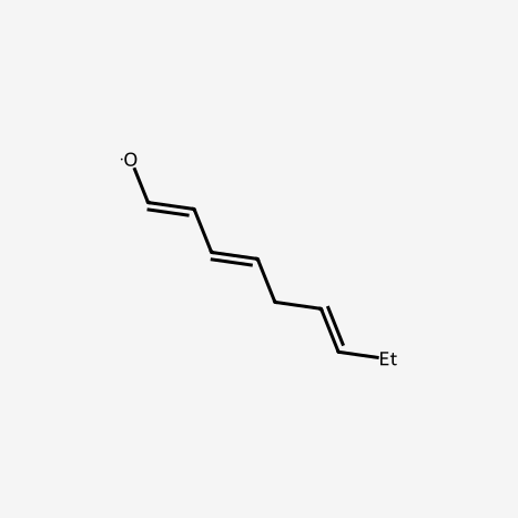 CCC=CCC=CC=C[O]